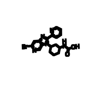 O=C(O)NC1CCCC(n2c(-c3ccccn3)nc3cc(Br)ncc32)C1